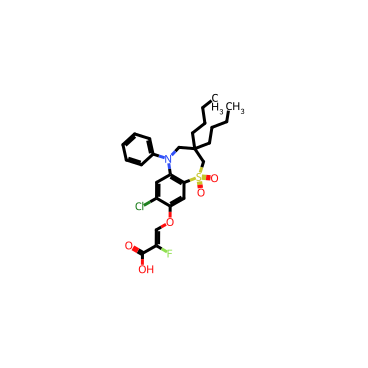 CCCCC1(CCCC)CN(c2ccccc2)c2cc(Cl)c(OC=C(F)C(=O)O)cc2S(=O)(=O)C1